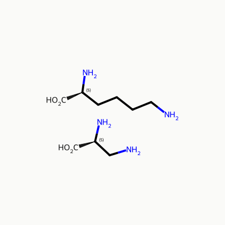 NCCCC[C@H](N)C(=O)O.NC[C@H](N)C(=O)O